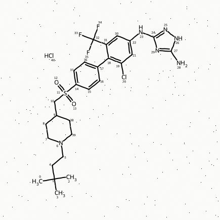 CC(C)(C)CCN1CCC(CS(=O)(=O)c2ccc(-c3c(Cl)cc(Nc4n[nH]c(N)n4)cc3C(F)(F)F)cc2)CC1.Cl